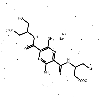 Nc1nc(C(=O)NC(CO)CC(=O)[O-])c(N)nc1C(=O)NC(CO)CC(=O)[O-].[Na+].[Na+]